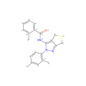 Cc1ccc(-n2nc3c(c2NC(=O)c2ccccc2C)CSC3)c(C)c1